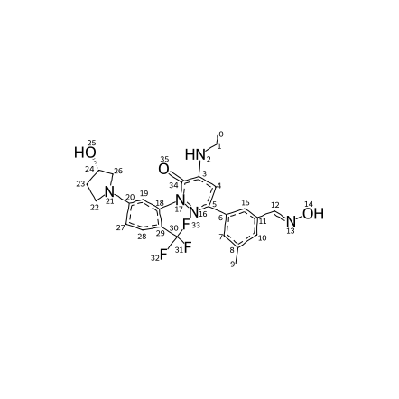 CCNc1cc(-c2cc(C)cc(/C=N/O)c2)nn(-c2cc(N3CC[C@H](O)C3)ccc2C(F)(F)F)c1=O